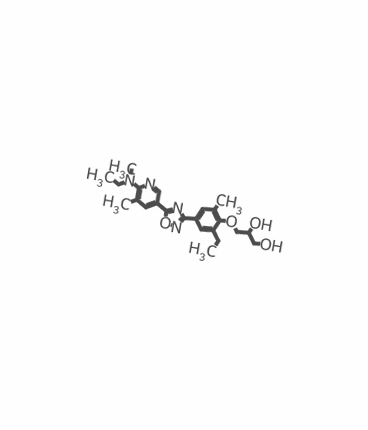 CCc1cc(-c2noc(-c3cnc(N(C)CC)c(C)c3)n2)cc(C)c1OCC(O)CO